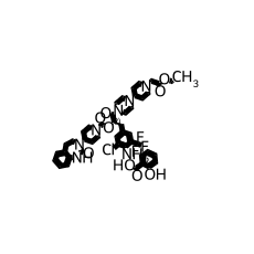 CCOC(=O)CN1CCC(N2CCN(C(=O)[C@@H](Cc3cc(Cl)c(N)c(C(F)(F)F)c3)OC(=O)N3CCC(N4CCc5ccccc5NC4=O)CC3)CC2)CC1.O=C(O)c1ccccc1O